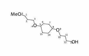 COCCCOC1CCC(OCCCO)CC1